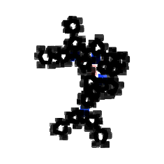 c1ccc(-c2cc3c4c(c2)N(c2c(-c5ccccc5)cccc2-c2ccccc2)c2cc(-n5c6ccc(C7CCCCC7)cc6c6cc(C7CCCCC7)ccc65)ccc2B4c2ccc(-c4ccc(-n5c6ccc(C7CCCCC7)cc6c6cc(C7CCCCC7)ccc65)cc4)cc2N3c2c(-c3ccccc3)cccc2-c2ccccc2)cc1